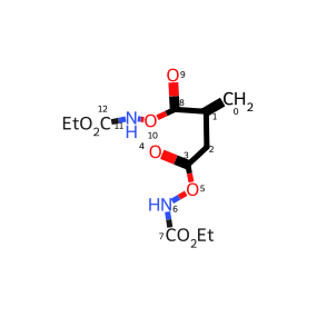 C=C(CC(=O)ONC(=O)OCC)C(=O)ONC(=O)OCC